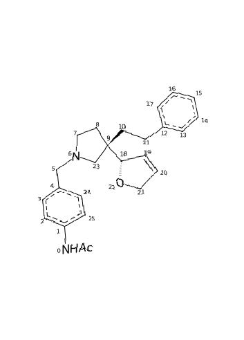 CC(=O)Nc1ccc(CN2CC[C@](CCc3ccccc3)([C@@H]3C=CCO3)C2)cc1